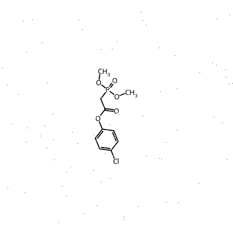 COP(=O)(CC(=O)Oc1ccc(Cl)cc1)OC